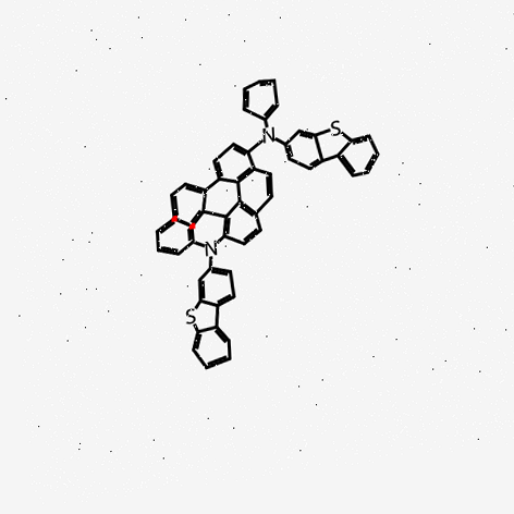 c1ccc(N(c2ccc3c(c2)sc2ccccc23)c2ccc3c4ccccc4c4c(N(c5ccccc5)c5ccc6c(c5)sc5ccccc56)ccc5ccc2c3c54)cc1